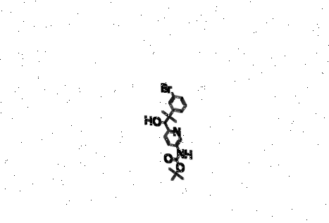 CC(C)(C)OC(=O)Nc1ccc(C(O)C(C)(C)c2cccc(Br)c2)nc1